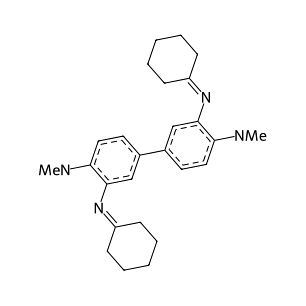 CNc1ccc(-c2ccc(NC)c(N=C3CCCCC3)c2)cc1N=C1CCCCC1